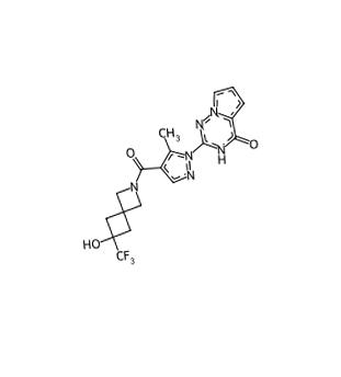 Cc1c(C(=O)N2CC3(C2)CC(O)(C(F)(F)F)C3)cnn1-c1nn2cccc2c(=O)[nH]1